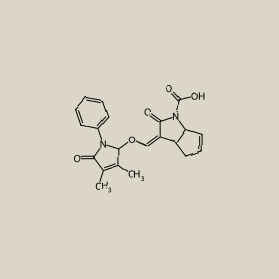 CC1=C(C)C(OC=C2C(=O)N(C(=O)O)C3C=CCC23)N(c2ccccc2)C1=O